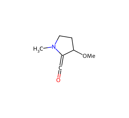 COC1CCN(C)C1=C=O